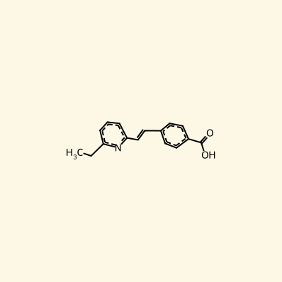 CCc1cccc(/C=C/c2ccc(C(=O)O)cc2)n1